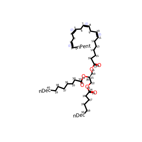 CCCCC/C=C\C/C=C\C/C=C\C/C=C\CCCCCC(=O)OC[C@@H](COC(=O)CCCCCCCCCCCCCC)OC(=O)CCCCCCCCCCCCCCCC